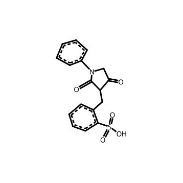 O=C1CN(c2ccccc2)C(=O)C1Cc1ccccc1S(=O)(=O)O